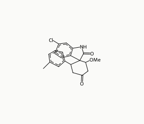 COC1CC(=O)CC(c2cccc(C)c2)C12C(=O)Nc1cc(Cl)ccc12